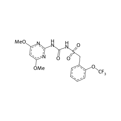 COc1cc(OC)nc(NC(=O)NS(=O)(=O)Cc2ccccc2OC(F)(F)F)n1